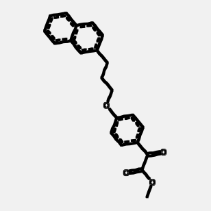 COC(=O)C(=O)c1ccc(OCCCc2ccc3ccccc3c2)cc1